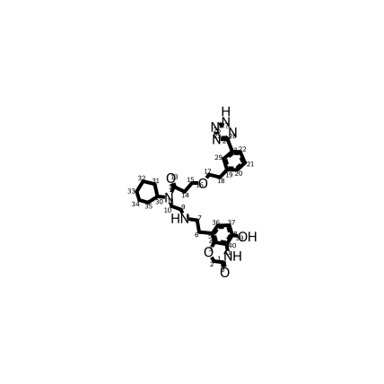 O=C1COc2c(CCNCCN(C(=O)CCOCCc3cccc(-c4nn[nH]n4)c3)C3CCCCC3)ccc(O)c2N1